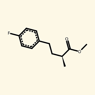 COC(=O)[C@@H](C)CCc1ccc(F)cc1